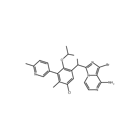 Cc1ccc(-c2c(C)c(Cl)cc(C(C)c3nc(Br)c4c(N)nccn34)c2OC(C)C)cn1